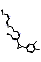 C=N/C=C\C=N/CC/N=C\C(=C/N=C)C1CC1c1ccc(C)c(C)c1